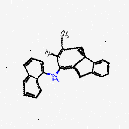 Cc1cc2c(c(Nc3cccc4ccccc34)c1C)Cc1ccccc1-2